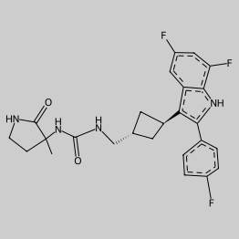 CC1(NC(=O)NC[C@H]2C[C@H](c3c(-c4ccc(F)cc4)[nH]c4c(F)cc(F)cc43)C2)CCNC1=O